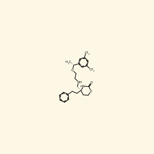 C[C@@H](OCCNC[C@@]1(CCc2ccccc2)CCOC(=O)N1)c1cc(C(F)(F)F)cc(C(F)(F)F)c1